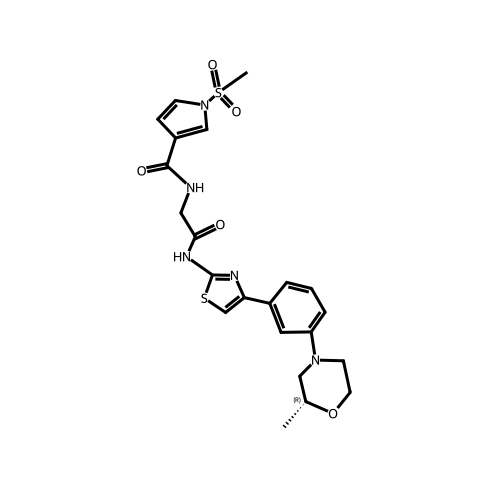 C[C@@H]1CN(c2cccc(-c3csc(NC(=O)CNC(=O)c4ccn(S(C)(=O)=O)c4)n3)c2)CCO1